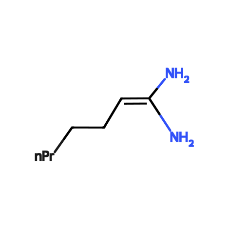 CCCCCC=C(N)N